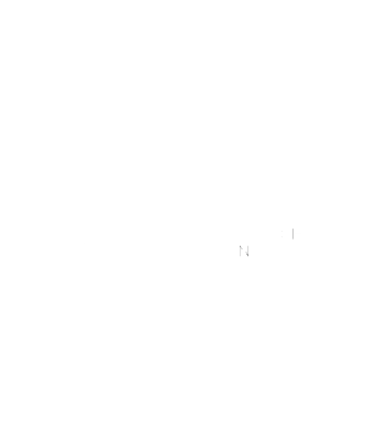 CN=C1CCc2ccccc21